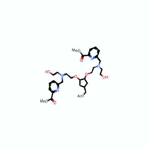 COC(=O)c1cccc(CN(CCO)CCOC2CC(COC(C)=O)CC2OCCN(CCO)Cc2cccc(C(=O)OC)n2)n1